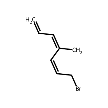 C=C/C=C(C)\C=C/CBr